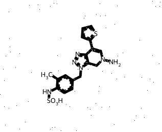 Cc1cc(Cn2nnc3c2CN(N)C=C3c2cccs2)ccc1NS(=O)(=O)O